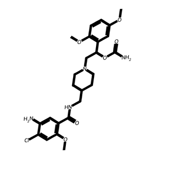 COc1ccc(OC)c(C(CN2CCC(CNC(=O)c3cc(N)c(Cl)cc3OC)CC2)OC(N)=O)c1